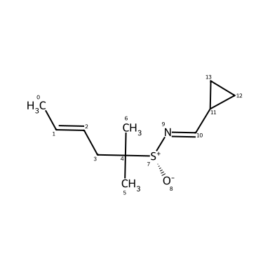 CC=CCC(C)(C)[S@@+]([O-])/N=C/C1CC1